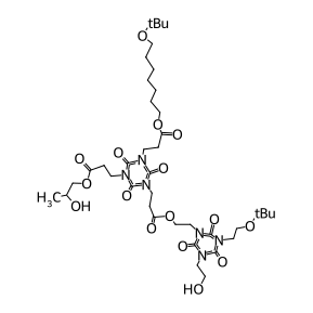 CC(O)COC(=O)CCn1c(=O)n(CCC(=O)OCCCCCCCOC(C)(C)C)c(=O)n(CCC(=O)OCCn2c(=O)n(CCO)c(=O)n(CCOC(C)(C)C)c2=O)c1=O